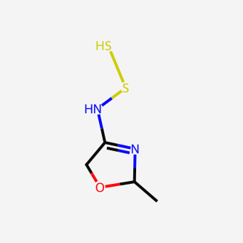 CC1N=C(NSS)CO1